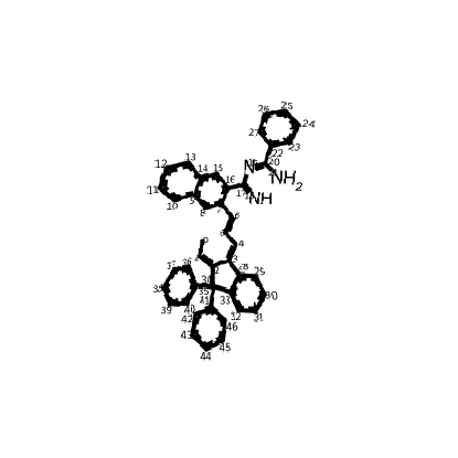 C\C=C1/C(=C\C=C\c2cc3ccccc3cc2C(=N)/N=C(\N)c2ccccc2)c2ccccc2C1(c1ccccc1)c1ccccc1